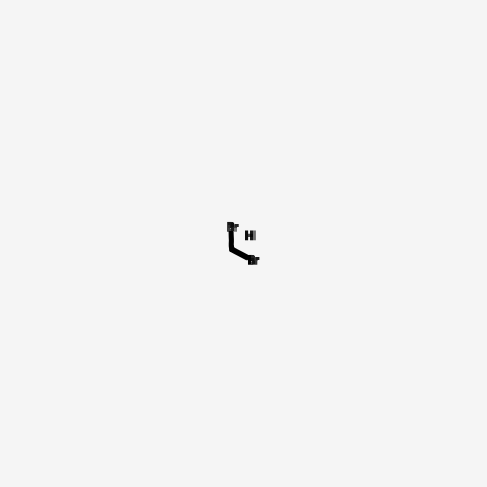 BrCBr.I